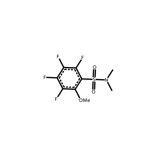 COc1c(F)c(F)c(F)c(F)c1S(=O)(=O)N(C)C